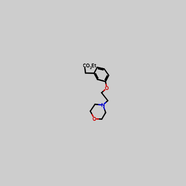 CCOC(=O)Cc1cccc(OCCN2CCOCC2)c1